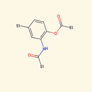 CCC(=O)Nc1cc(CC)ccc1OC(=O)CC